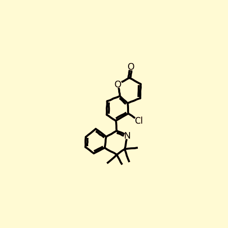 CC1(C)N=C(c2ccc3oc(=O)ccc3c2Cl)c2ccccc2C1(C)C